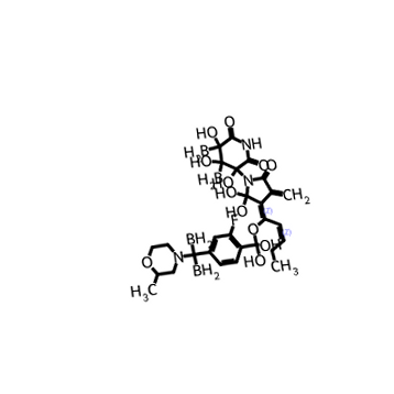 BC(B)(c1ccc(C(O)(O)OC(/C=C\CC)=C2/C(=C)C(=O)N(C3(O)C(=O)NC(=O)C(B)(O)C3(B)O)C2(O)O)c(F)c1)N1CCOC(C)C1